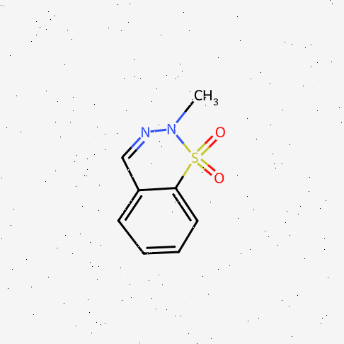 CN1N=Cc2ccccc2S1(=O)=O